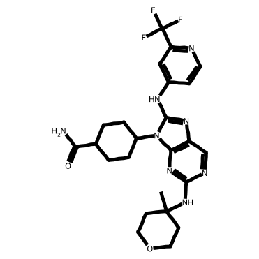 CC1(Nc2ncc3nc(Nc4ccnc(C(F)(F)F)c4)n(C4CCC(C(N)=O)CC4)c3n2)CCOCC1